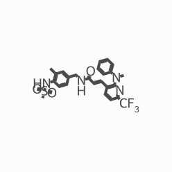 Cc1cc(CNC(=O)C=Cc2ccc(C(F)(F)F)nc2N(C)c2ccccc2)ccc1NS(C)(=O)=O